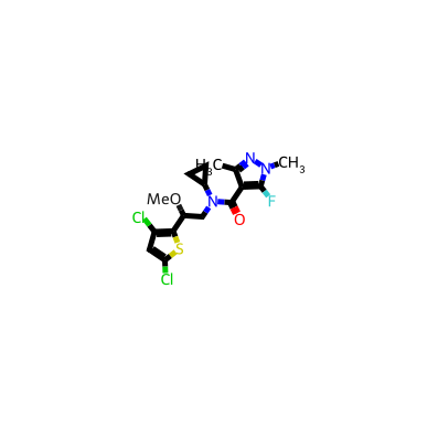 COC(CN(C(=O)c1c(C)nn(C)c1F)C1CC1)c1sc(Cl)cc1Cl